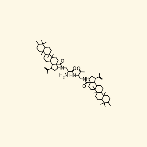 C=C(C)C1CCC2(C(=O)NCC(N)C(=O)NC(CNC(=O)C34CCC(C(=C)C)C3C3CCC5C6(C)CCC(C)C(C)(C)C6CCC5(C)C3(C)CC4)C(C)=O)CCC3(C)C(CCC4C5(C)CCC(C)C(C)(C)C5CCC43C)C12